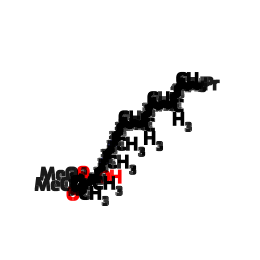 COC1=C(OC)C(=O)C(CCC(C)(O)CC/C=C(\C)CC/C=C(\C)CCCC(C)CCCC(C)CCCC(C)CCCC(C)CCCC(C)CCCC(C)C)=C(C)C1=O